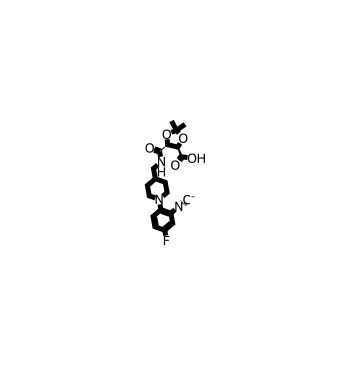 [C-]#[N+]c1cc(F)ccc1N1CCC(CNC(=O)[C@@H]2OC(C)(C)O[C@H]2C(=O)O)CC1